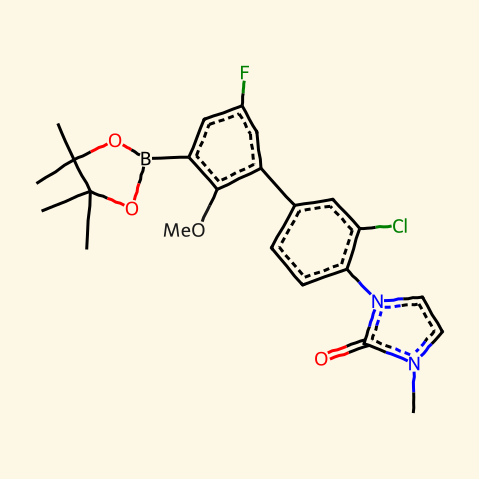 COc1c(B2OC(C)(C)C(C)(C)O2)cc(F)cc1-c1ccc(-n2ccn(C)c2=O)c(Cl)c1